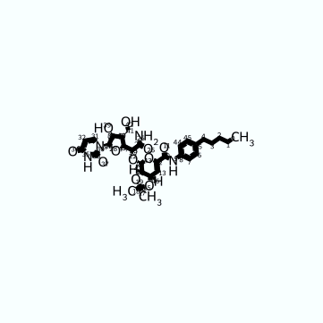 CCCCCc1ccc(NC(=O)C2=C[C@@H]3OC(C)(C)O[C@@H]3[C@@H](O[C@@H](C(N)=O)[C@H]3O[C@@H](n4ccc(=O)[nH]c4=O)[C@H](O)[C@@H]3CO)O2)cc1